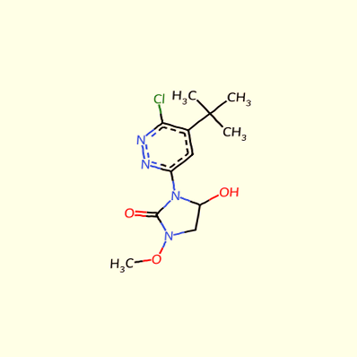 CON1CC(O)N(c2cc(C(C)(C)C)c(Cl)nn2)C1=O